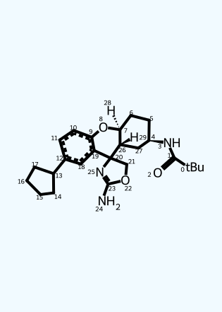 CC(C)(C)C(=O)N[C@@H]1CC[C@@H]2Oc3ccc(C4CCCC4)cc3C3(COC(N)=N3)[C@H]2C1